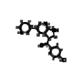 O=C(c1ccc(Cl)cc1)C1CNc2ncc(-c3cccnc3)cc21